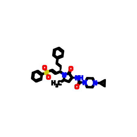 CC1C[C@H](NC(=O)N2CCN(C3CC3)CC2)C(=O)N1[C@H](/C=C/S(=O)(=O)c1ccccc1)CCc1ccccc1